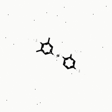 COc1cc(N)ccc1/N=N/c1cc(C)c(NC(C)=O)c(C)c1